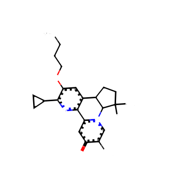 COCCCOc1cc2c(nc1C1CC1)-c1cc(=O)c(C(=O)O)cn1C1C2CCC1(C)C